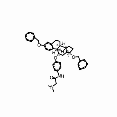 CN(C)CC(=O)Nc1ccc(O[C@H]2C[C@]3(C)[C@@H](OCc4ccccc4)CC[C@H]3[C@@H]3CCc4cc(OCc5ccccc5)ccc4[C@H]32)cc1